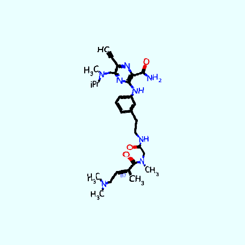 C#Cc1nc(C(N)=O)c(Nc2cccc(CCNC(=O)CN(C)C(=O)/C(C)=C/CN(C)C)c2)nc1N(C)C(C)C